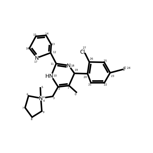 CC1=C(C[N+]2(C)CCCC2)NC(c2ccccn2)=NC1c1ccc(F)cc1Cl